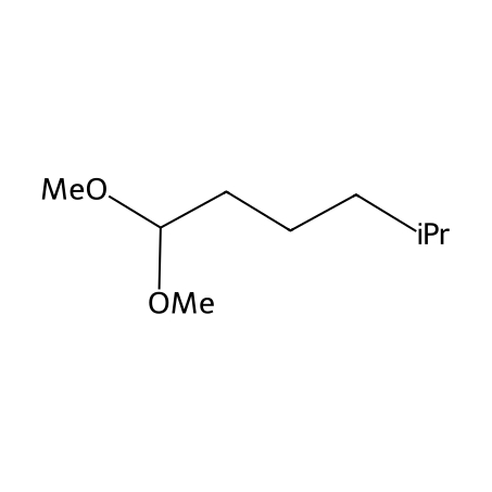 COC(CCCC(C)C)OC